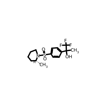 C[C@@H]1CCCCN1S(=O)(=O)c1ccc(C(C)(O)C(F)(F)F)cc1